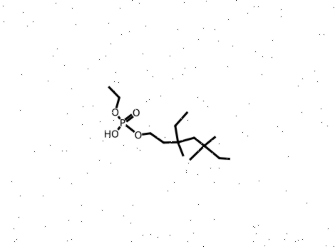 CCOP(=O)(O)OCCC(C)(CC)CC(C)(C)CC